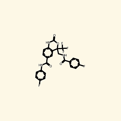 O=C1Nc2ccc(C(=O)Nc3ccc(F)cc3)cc2C(CNC(=O)c2ccc(F)cc2)(C(F)(F)F)O1